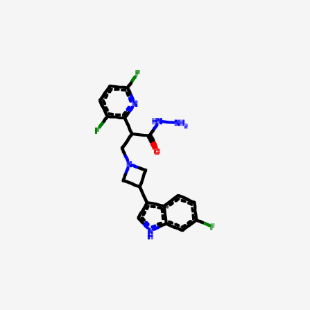 NNC(=O)C(CN1CC(c2c[nH]c3cc(F)ccc23)C1)c1nc(F)ccc1F